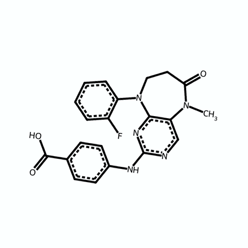 CN1C(=O)CCN(c2ccccc2F)c2nc(Nc3ccc(C(=O)O)cc3)ncc21